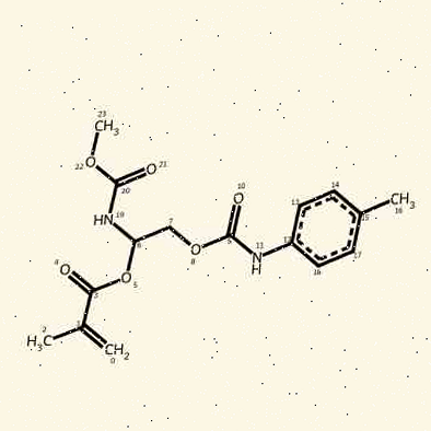 C=C(C)C(=O)OC(COC(=O)Nc1ccc(C)cc1)NC(=O)OC